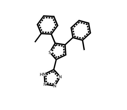 Cc1ccccc1-c1cc(-c2nnn[nH]2)sc1-c1ccccc1C